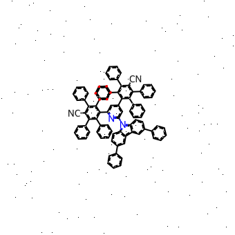 N#Cc1c(-c2ccccc2)c(-c2ccccc2)c(-c2cc(-c3c(-c4ccccc4)c(-c4ccccc4)c(C#N)c(-c4ccccc4)c3-c3ccccc3)nc(-n3c4ccc(-c5ccccc5)cc4c4cc(-c5ccccc5)ccc43)c2)c(-c2ccccc2)c1-c1ccccc1